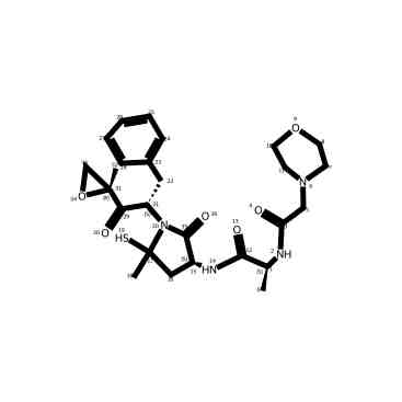 C[C@H](NC(=O)CN1CCOCC1)C(=O)N[C@H]1CC(C)(S)N([C@@H](Cc2ccccc2)C(=O)[C@@]2(C)CO2)C1=O